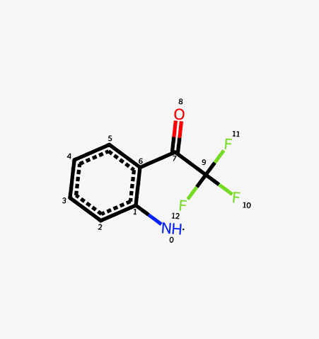 [NH]c1ccccc1C(=O)C(F)(F)F